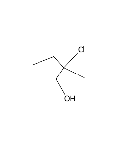 CCC(C)(Cl)CO